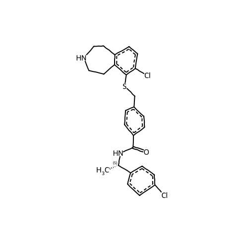 C[C@H](NC(=O)c1ccc(CSc2c(Cl)ccc3c2CCNCC3)cc1)c1ccc(Cl)cc1